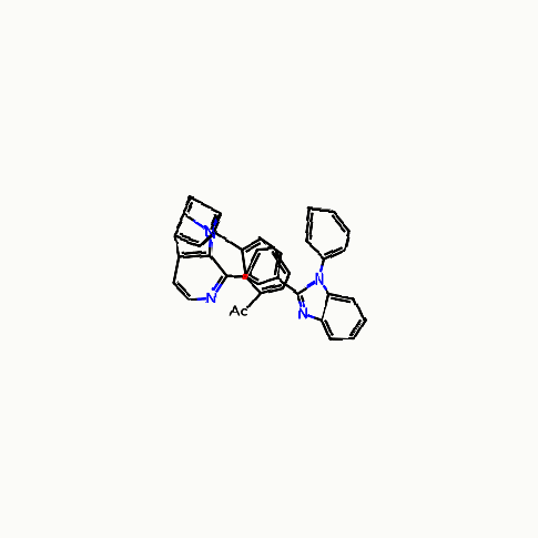 CC(=O)c1ccccc1-c1nccc2c3cc(-c4ccc(-c5nc6ccccc6n5-c5ccccc5)cc4)c4cc3n-4c12